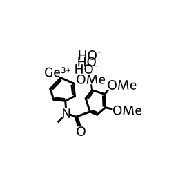 COc1cc(C(=O)N(C)c2cc[c]([Ge+3])cc2)cc(OC)c1OC.[OH-].[OH-].[OH-]